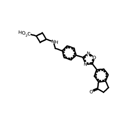 O=C1CCc2ccc(-c3nc(-c4ccc(CNC5CC(C(=O)O)C5)cc4)no3)cc21